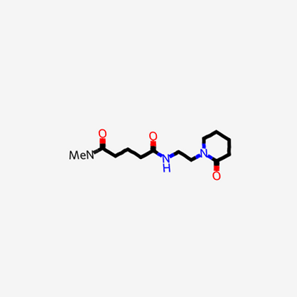 CNC(=O)CCCC(=O)NCCN1CCCCC1=O